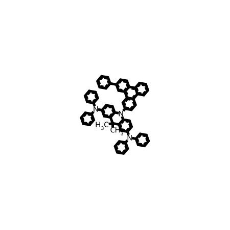 CC1(C)c2cc(N(c3ccccc3)c3ccccc3)ccc2N(c2ccc3c4ccccc4c4ccc(-c5ccccc5)cc4c3c2)c2ccc(N(c3ccccc3)c3ccccc3)cc21